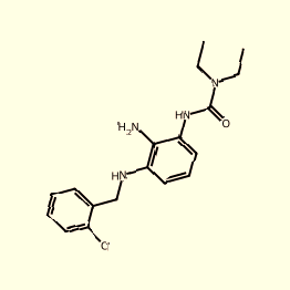 CCN(CC)C(=O)Nc1cccc(NCc2ccccc2Cl)c1N